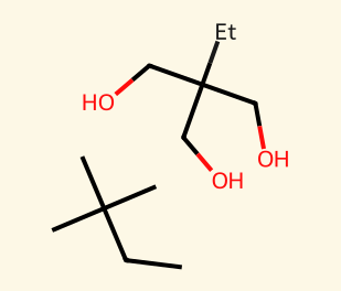 CCC(C)(C)C.CCC(CO)(CO)CO